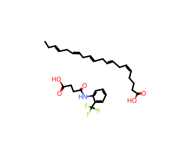 CCC=CCC=CCC=CCC=CC/C=C\CCCC(=O)O.O=C(O)CCC(=O)Nc1ccccc1C(F)(F)F